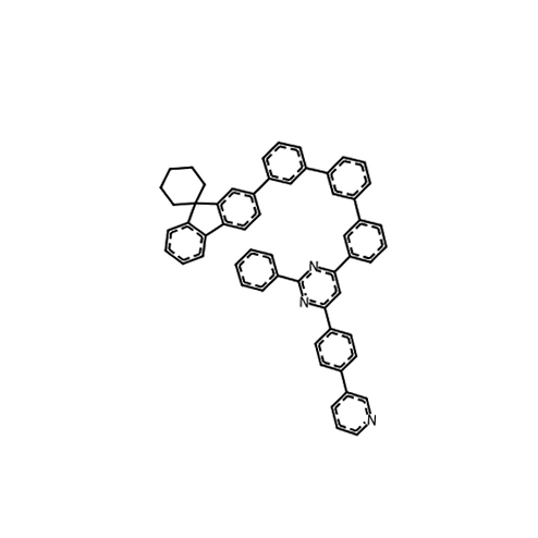 c1ccc(-c2nc(-c3ccc(-c4cccnc4)cc3)cc(-c3cccc(-c4cccc(-c5cccc(-c6ccc7c(c6)C6(CCCCC6)c6ccccc6-7)c5)c4)c3)n2)cc1